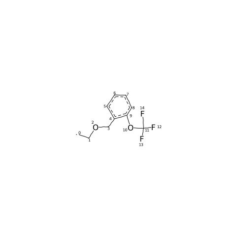 [CH2]COCc1ccccc1OC(F)(F)F